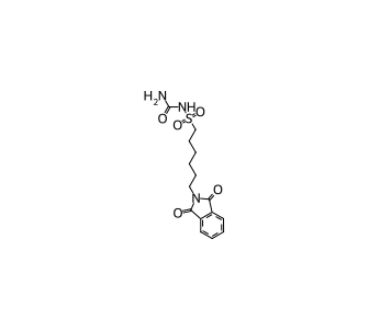 NC(=O)NS(=O)(=O)CCCCCCN1C(=O)c2ccccc2C1=O